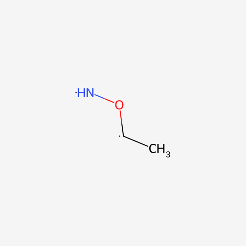 C[CH]O[NH]